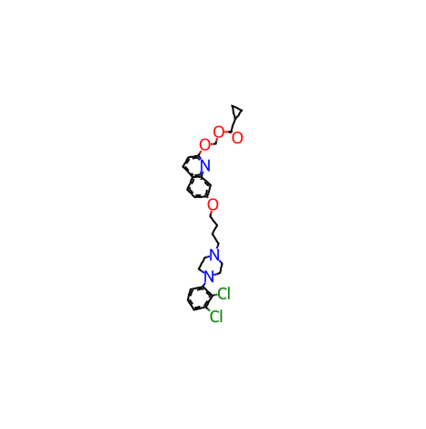 O=C(OCOc1ccc2ccc(OCCCCN3CCN(c4cccc(Cl)c4Cl)CC3)cc2n1)C1CC1